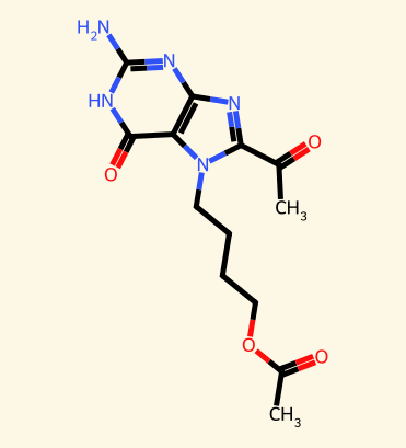 CC(=O)OCCCCn1c(C(C)=O)nc2nc(N)[nH]c(=O)c21